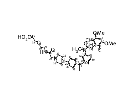 COc1cc(OC)c(Cl)c(NC(=O)N(C)c2cc(Nc3ccc(N4CCN(CC(=O)NCCOCCC(=O)O)CC4)cc3)ncn2)c1Cl